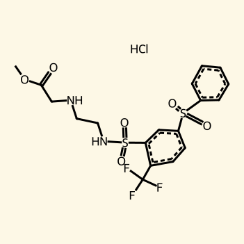 COC(=O)CNCCNS(=O)(=O)c1cc(S(=O)(=O)c2ccccc2)ccc1C(F)(F)F.Cl